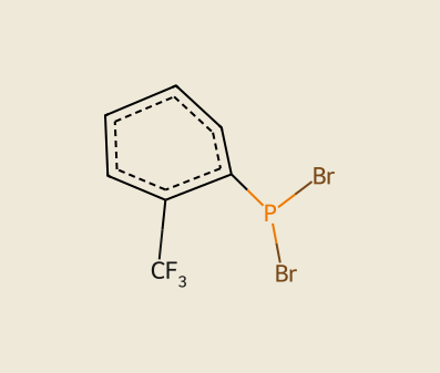 FC(F)(F)c1ccccc1P(Br)Br